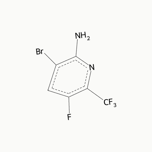 Nc1nc(C(F)(F)F)c(F)cc1Br